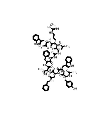 CNC(=N)NCCC[C@H](NC(=O)[C@H](CC(C)C)NC(=O)NNC(=O)[C@H](Cc1ccccc1)NC(=O)[C@@H](NC(=O)[C@H](CC(=O)NCc1ccccc1)NC(=O)[C@@H](Cc1c[nH]c2ccccc12)NC(=O)[C@@H](Cc1ccc(O)cc1)NC(C)=O)[C@@H](C)O)C(=O)N[C@@H](Cc1c[nH]c2ccccc12)C(N)=O